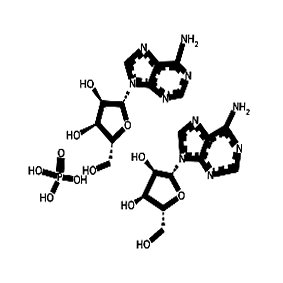 Nc1ncnc2c1ncn2[C@@H]1O[C@H](CO)[C@@H](O)[C@H]1O.Nc1ncnc2c1ncn2[C@@H]1O[C@H](CO)[C@@H](O)[C@H]1O.O=P(O)(O)O